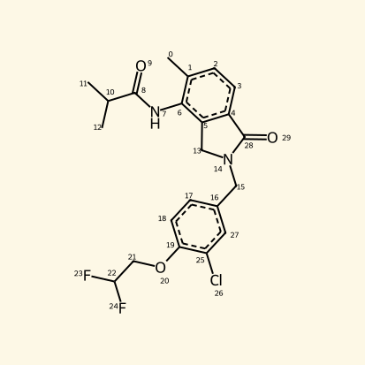 Cc1ccc2c(c1NC(=O)C(C)C)CN(Cc1ccc(OCC(F)F)c(Cl)c1)C2=O